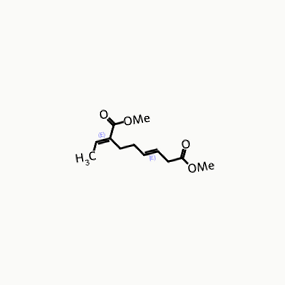 C/C=C(\CC/C=C/CC(=O)OC)C(=O)OC